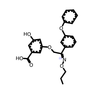 CCCO/N=C(\COc1cc(O)cc(C(=O)O)c1)c1cccc(Oc2ccccc2)c1